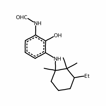 CCC1CCCC(C)(Nc2cccc(NC=O)c2O)C1(C)C